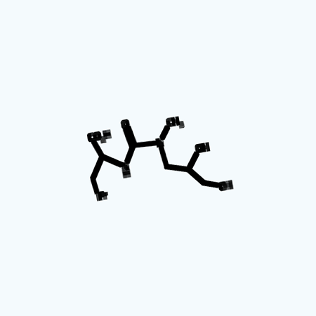 CC(C)CC(NC(=O)N(C)CC(O)CO)C(=O)O